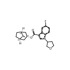 CN1[C@@H]2CC[C@H]1C[C@H](OC(=O)c1cn(C3CCOC3)c3ccc(F)cc13)C2